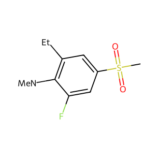 CCc1cc(S(C)(=O)=O)cc(F)c1NC